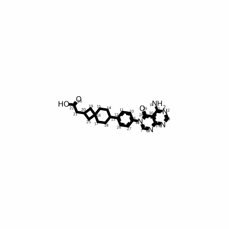 Nc1ncnc2ncn(-c3ccc(C4CCC5(CC4)CC(CC(=O)O)C5)cc3)c(=O)c12